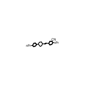 CCCc1ccc(C2CCC(C#Cc3ccc(CCC)c(C#N)c3)CC2)cc1